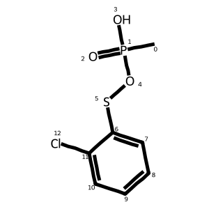 CP(=O)(O)OSc1ccccc1Cl